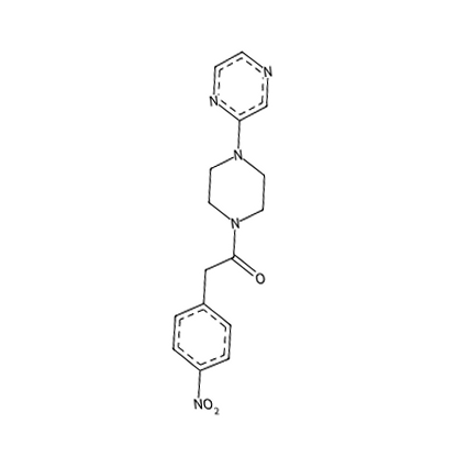 O=C(Cc1ccc([N+](=O)[O-])cc1)N1CCN(c2cnccn2)CC1